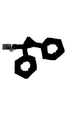 O=C(O)C1(c2ccccc2)CC1c1ccccc1